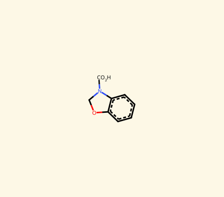 O=C(O)N1COc2ccccc21